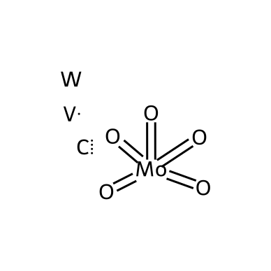 [C].[O]=[Mo](=[O])(=[O])(=[O])=[O].[V].[W]